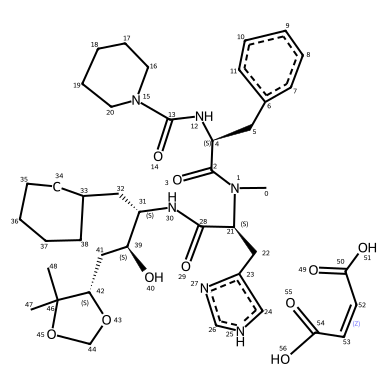 CN(C(=O)[C@H](Cc1ccccc1)NC(=O)N1CCCCC1)[C@@H](Cc1c[nH]cn1)C(=O)N[C@@H](CC1CCCCC1)[C@@H](O)C[C@@H]1OCOC1(C)C.O=C(O)/C=C\C(=O)O